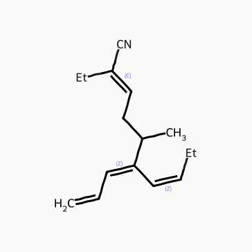 C=C/C=C(\C=C/CC)C(C)C/C=C(/C#N)CC